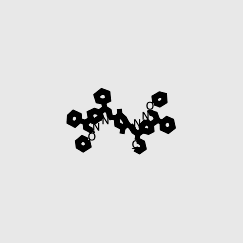 Cc1cc(-c2cc(-c3ccccc3)c3ccc4c(-c5ccccc5)cc(Oc5ccccc5)nc4c3n2)c(C)cc1-c1cc(-c2ccccc2)c2ccc3c(-c4ccccc4)cc(Oc4ccccc4)nc3c2n1